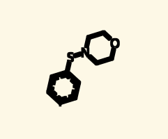 [c]1ccc(SN2CCOCC2)cc1